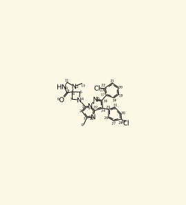 Cc1cc(N2CC3(C2)C(=O)NCN3C)n2nc(-c3ccccc3Cl)c(-c3ccc(Cl)cc3)c2n1